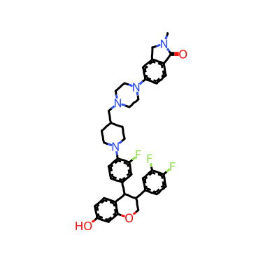 CN1Cc2cc(N3CCN(CC4CCN(c5ccc(C6c7ccc(O)cc7OCC6c6ccc(F)c(F)c6)cc5F)CC4)CC3)ccc2C1=O